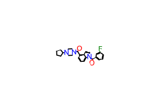 O=C(c1cccc2c1ccn2C(=O)c1cccc(F)c1)N1CCN(C2CCCC2)CC1